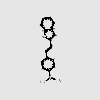 CN(C)c1ccc(/C=C/c2cc3ccccc3o2)cc1